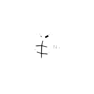 O=S([O-])C(Cl)(Cl)C(F)(F)F.[Na+]